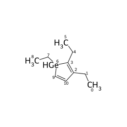 CCC1=[C](CC)[GeH]([CH2]C)[CH]=C1